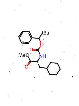 COC(=O)[C@H](CC1CCCCC1)NC(=O)OC(c1ccccc1)C(C)(C)C